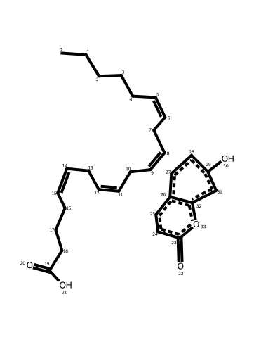 CCCCC/C=C\C/C=C\C/C=C\C/C=C\CCCC(=O)O.O=c1ccc2ccc(O)cc2o1